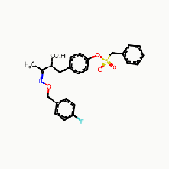 CC(=NOCc1ccc(F)cc1)C(Cc1ccc(OS(=O)(=O)Cc2ccccc2)cc1)C(=O)O